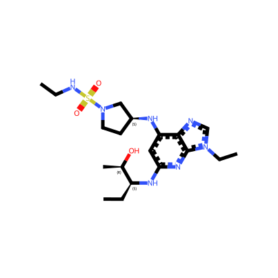 CCNS(=O)(=O)N1CC[C@H](Nc2cc(N[C@@H](CC)[C@@H](C)O)nc3c2ncn3CC)C1